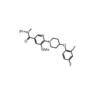 CNc1cc(C(=O)N(C)C(C)C)cnc1N1CCC(Oc2ccc(F)cc2F)CC1